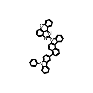 c1ccc(-n2c3ccccc3c3cc(-c4cccc5c4ccc4c5c5ccccc5n4-c4nc5c6c(cccc6n4)Oc4ccccc4-5)ccc32)cc1